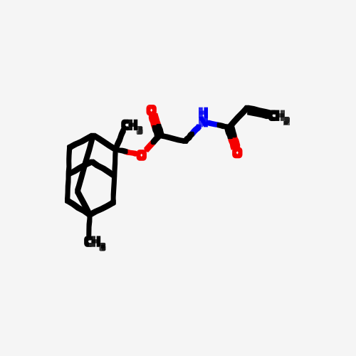 C=CC(=O)NCC(=O)OC1(C)C2CC3CC1CC(C)(C3)C2